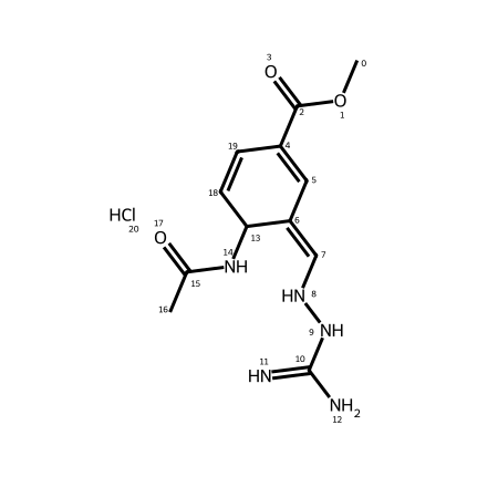 COC(=O)C1=CC(=CNNC(=N)N)C(NC(C)=O)C=C1.Cl